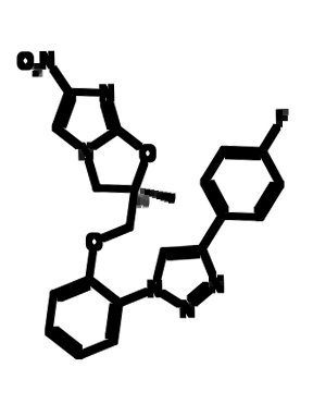 C[C@]1(COc2ccccc2-n2cc(-c3ccc(F)cc3)nn2)Cn2cc([N+](=O)[O-])nc2O1